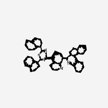 c1ccc2c(-c3nc(-c4cccc5ccccc45)nc(-c4ccc(-c5nc6ccccc6c6c5ccc5ccccc56)c5ncccc45)n3)cccc2c1